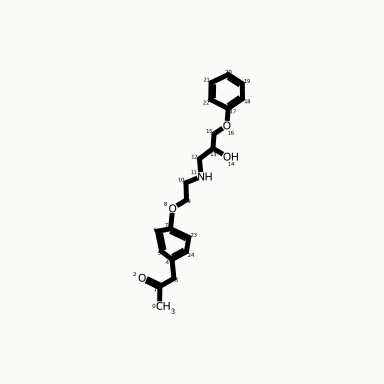 CC(=O)Cc1ccc(OCCNCC(O)COc2ccccc2)cc1